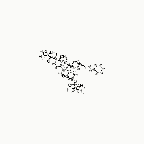 Cc1c(OC(=O)C(C)(C)C)ccc2c1OC(c1ccc(OCCCN3CCCCC3)cc1)C1=C2COc2cc(OC(=O)C(C)(C)C)ccc21